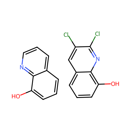 Oc1cccc2cc(Cl)c(Cl)nc12.Oc1cccc2cccnc12